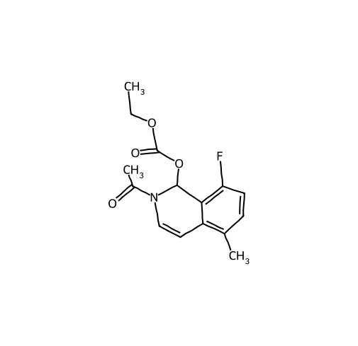 CCOC(=O)OC1c2c(F)ccc(C)c2C=CN1C(C)=O